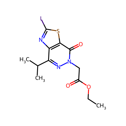 CCOC(=O)Cn1nc(C(C)C)c2nc(I)sc2c1=O